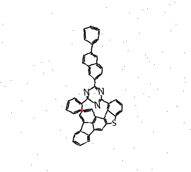 c1ccc(-c2ccc3cc(-c4nc(-c5ccccc5)nc(-c5cccc6sc7cc8c9c(cccc9c7c56)-c5ccccc5-8)n4)ccc3c2)cc1